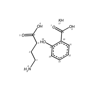 NCCCC(=O)O.O=C(O)c1ccccc1O.[KH]